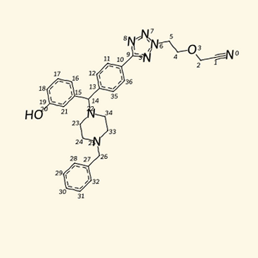 N#CCOCCn1nnc(-c2ccc(C(c3cccc(O)c3)N3CCN(Cc4ccccc4)CC3)cc2)n1